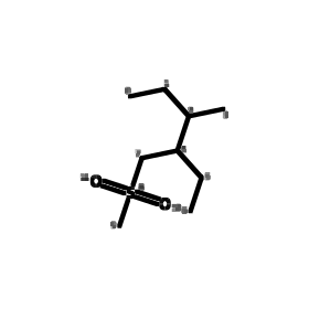 CCC(C)C(CC)CS(C)(=O)=O